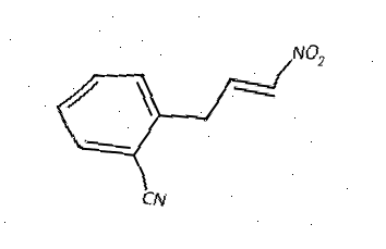 N#Cc1ccccc1CC=C[N+](=O)[O-]